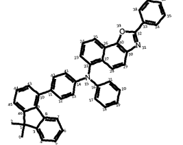 CC1(C)c2ccccc2-c2c(-c3ccc(N(c4ccccc4)c4cccc5c4ccc4nc(-c6ccccc6)oc45)cc3)cccc21